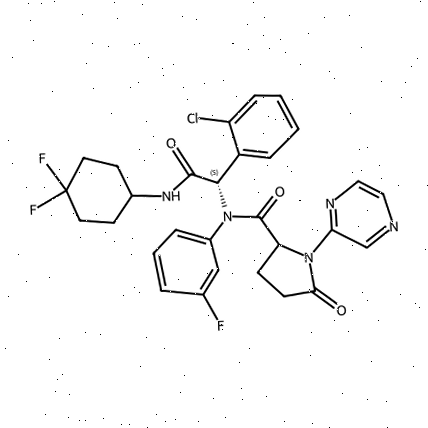 O=C(NC1CCC(F)(F)CC1)[C@H](c1ccccc1Cl)N(C(=O)C1CCC(=O)N1c1cnccn1)c1cccc(F)c1